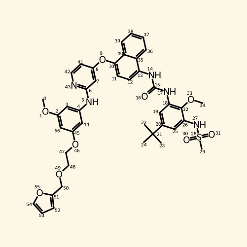 COc1cc(Nc2cc(Oc3ccc(NC(=O)Nc4cc(C(C)(C)C)cc(NS(C)(=O)=O)c4OC)c4ccccc34)ccn2)cc(OCCOCc2ccco2)c1